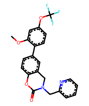 COc1cc(OC(F)(F)F)ccc1-c1ccc2c(c1)CN(Cc1ccccn1)C(=O)O2